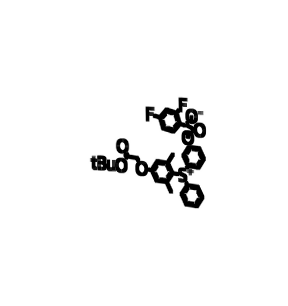 Cc1cc(OCC(=O)OC(C)(C)C)cc(C)c1[S+](c1ccccc1)c1ccccc1.O=S(=O)([O-])c1ccc(F)cc1F